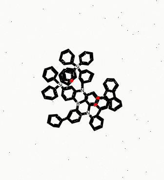 c1ccc(-c2ccc3c(c2)B2c4ccc([Si](c5ccccc5)(c5ccccc5)c5ccccc5)cc4N(c4cccc([Si](c5ccccc5)(c5ccccc5)c5ccccc5)c4)c4cc(-n5c6ccccc6c6ccccc65)cc(c42)N3c2ccccc2-c2ccccc2)cc1